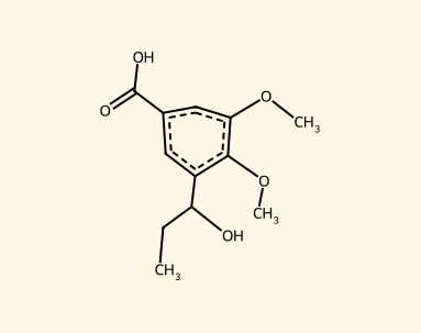 CCC(O)c1cc(C(=O)O)cc(OC)c1OC